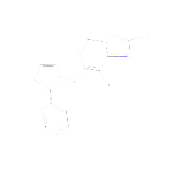 CCCc1c(Cn2ccnc2-c2cccc(F)n2)ncn2cc(C#N)nc12